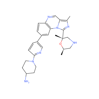 Cc1nc([C@]2(C)CNC[C@@H](C)O2)n2c1cnc1ccc(-c3ccc(N4CCC(N)CC4)nc3)cc12